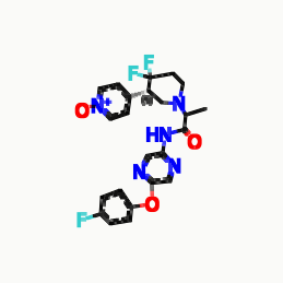 CC(C(=O)Nc1cnc(Oc2ccc(F)cc2)cn1)N1CCC(F)(F)[C@@H](c2cc[n+]([O-])cc2)C1